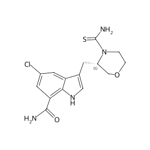 NC(=O)c1cc(Cl)cc2c(C[C@H]3COCCN3C(N)=S)c[nH]c12